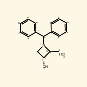 C[C@H]1[C@H](O)CN1C(c1ccccc1)c1ccccc1.Cl